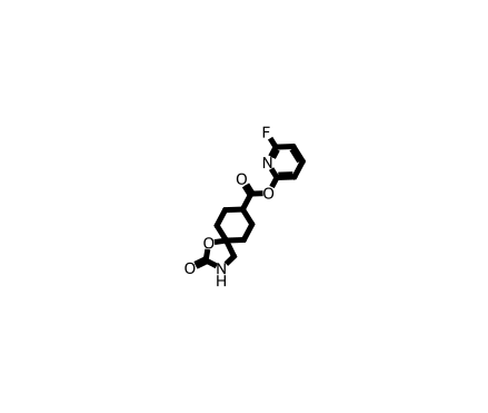 O=C1NCC2(CCC(C(=O)Oc3cccc(F)n3)CC2)O1